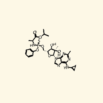 Cc1nc(NC2CC2)c2ncn([C@@H]3O[C@H](COP(=S)(NC(C)C(=O)OC(C)C)Oc4ccccc4)[C@@H](O)[C@@]3(C)O)c2n1